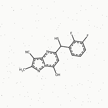 Cc1nn2c(O)cc(C(S)c3cccc(F)c3F)nc2c1C#N